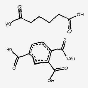 O=C(O)CCCCC(=O)O.O=C(O)c1ccc(C(=O)O)c(C(=O)O)c1